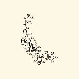 C[C@]12CC[C@H](OCCN3CCCC3)C[C@H]1CC[C@@H]1[C@@H]2CC[C@@]2(C)[C@H]1CC[C@@]2(OCCN1CCCC1)c1ccoc1